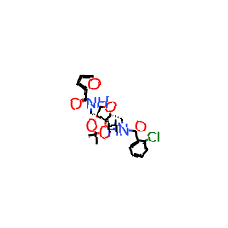 CC1(C)O[C@@H]2[C@@H](CNC(=O)c3ccccc3Cl)OC[C@]2(CNC(=O)c2ccco2)O1